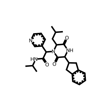 CC(C)CC1C(=O)NC(C2Cc3ccccc3C2)C(=O)N1C(C(=O)NC(C)C)c1cccnc1